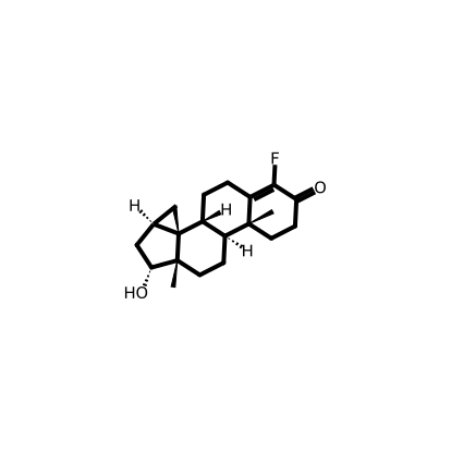 C[C@]12CCC(=O)C(F)=C1CC[C@@H]1[C@@H]2CC[C@]2(C)[C@H](O)C[C@H]3C[C@@]312